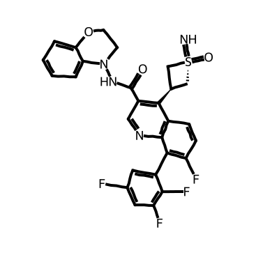 N=[S@]1(=O)C[C@@H](c2c(C(=O)NN3CCOc4ccccc43)cnc3c(-c4cc(F)cc(F)c4F)c(F)ccc32)C1